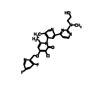 Cc1cnc(-c2ccnc(N(C)CCO)n2)cc1-n1c(C)cc(OCc2ncc(F)cc2F)c(Cl)c1=O